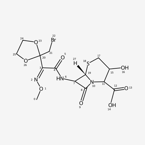 CON=C(C(=O)NC1C(=O)N2C(C(=O)O)C(O)CS[C@@H]12)C1(CBr)OCCO1